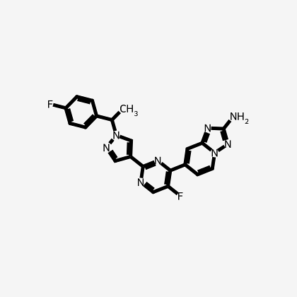 CC(c1ccc(F)cc1)n1cc(-c2ncc(F)c(-c3ccn4nc(N)nc4c3)n2)cn1